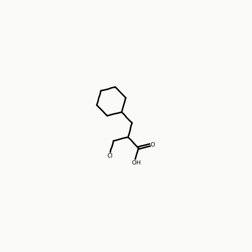 O=C(O)C(CCl)CC1CCCCC1